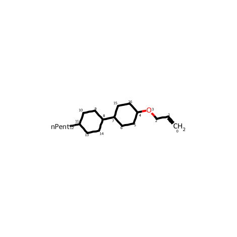 C=CCOC1CCC(C2CCC(CCCCC)CC2)CC1